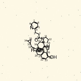 O=C(CCc1ccccn1)N1CCC[C@]12CC[C@@]1(O)[C@H]3Cc4ccc(O)c5c4[C@@]1(CCN3CC1CC1)[C@H]2O5